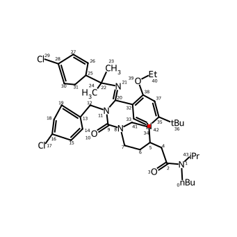 CCCCN(C(=O)CC1CCN(C(=O)N(Cc2ccc(Cl)cc2)/C(=N\C(C)(C)C2C=CC(Cl)=CC2)c2cnc(C(C)(C)C)cc2OCC)CC1)C(C)C